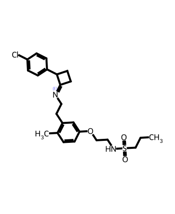 CCCS(=O)(=O)NCCOc1ccc(C)c(CC/N=C2\CCC2c2ccc(Cl)cc2)c1